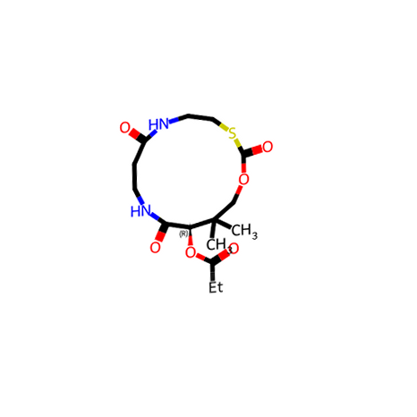 CCC(=O)O[C@H]1C(=O)NCCC(=O)NCCSC(=O)OCC1(C)C